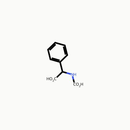 O=C(O)NC(C(=O)O)c1ccccc1